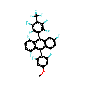 COc1cc(F)c(-c2c3ccc(F)cc3c(-c3c(F)c(F)c(C(F)(F)F)c(F)c3F)c3c(F)ccc(F)c23)c(F)c1